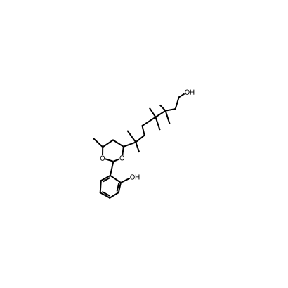 CC1CC(C(C)(C)CCC(C)(C)C(C)(C)CCO)OC(c2ccccc2O)O1